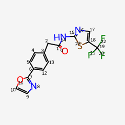 O=C(Cc1ccc(-c2ncco2)cc1)Nc1ncc(C(F)(F)F)s1